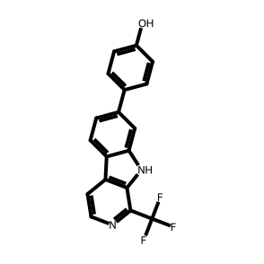 Oc1ccc(-c2ccc3c(c2)[nH]c2c(C(F)(F)F)nccc23)cc1